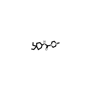 CCC1(CC)CCC(NC(=O)N2CCN(C)CC2)CC1